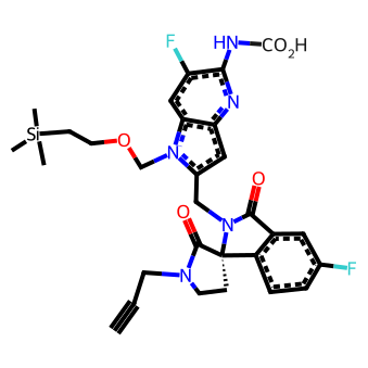 C#CCN1CC[C@@]2(C1=O)c1ccc(F)cc1C(=O)N2Cc1cc2nc(NC(=O)O)c(F)cc2n1COCC[Si](C)(C)C